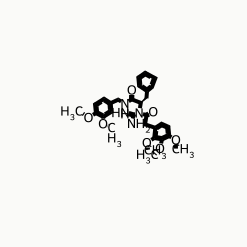 COc1ccc(CNC(=O)[C@@H](Cc2ccccc2)N(C(=N)N)C(=O)Cc2ccc(OC)c(OC)c2OC)cc1OC